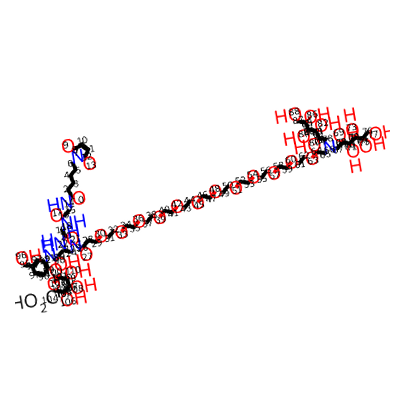 O=C(CCCCCN1C(=O)C=CC1=O)NCC(=O)NCC(=O)NC(CNC(=O)CCOCCOCCOCCOCCOCCOCCOCCOCCOCCOCCOCCOCCN(C[C@H](O)[C@@H](O)[C@H](O)[C@H](O)CO)C[C@H](O)[C@@H](O)[C@H](O)[C@H](O)CO)C(O)Nc1cc(CO)ccc1O[C@@H]1O[C@H](C(=O)O)[C@@H](O)[C@H](O)[C@H]1O